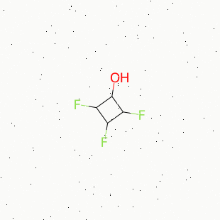 OC1C(F)C(F)C1F